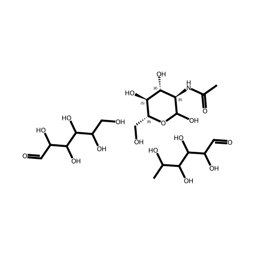 CC(=O)N[C@H]1C(O)O[C@H](CO)[C@@H](O)[C@@H]1O.CC(O)C(O)C(O)C(O)C=O.O=CC(O)C(O)C(O)C(O)CO